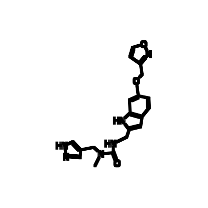 CN(Cc1cn[nH]c1)C(=O)NCc1cc2ccc(OCc3ccon3)cc2[nH]1